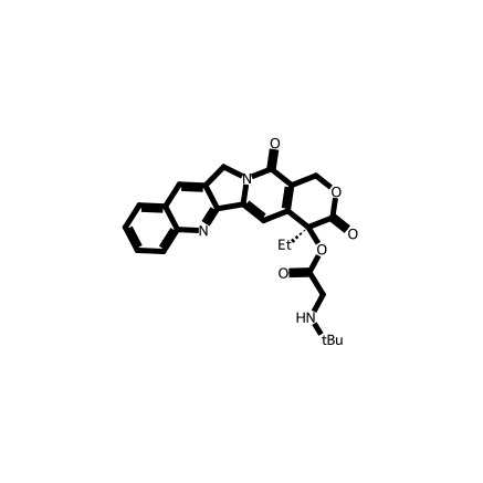 CC[C@@]1(OC(=O)CNC(C)(C)C)C(=O)OCc2c1cc1n(c2=O)Cc2cc3ccccc3nc2-1